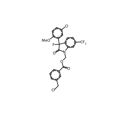 COc1ccc(Cl)cc1C1(F)C(=O)N(COC(=O)c2cccc(CCl)c2)c2cc(C(F)(F)F)ccc21